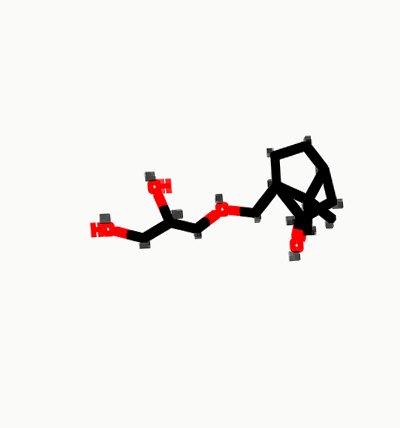 CC1(C)C2CCC1(COCC(O)CO)C(=O)C2